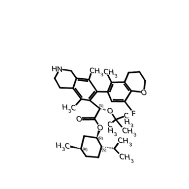 Cc1c(-c2c(C)c3c(c(C)c2[C@H](OC(C)(C)C)C(=O)O[C@@H]2C[C@H](C)CC[C@H]2C(C)C)CCNC3)cc(F)c2c1CCCO2